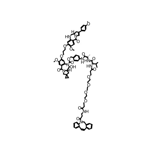 COc1ccc(C2=CN3C(=O)c4cc(OC)c(OCCCOc5cc6c(cc5OC)C(=O)N5CC7(CC7)C[C@H]5C(O)N6C(=O)OCc5ccc(NC(=O)[C@H](C)NC(=O)[C@@H](NC(=O)CCOCCOCCOCCOCCC(=O)NCCC(=O)N6Cc7ccccc7C#Cc7ccccc76)C(C)C)cc5)cc4NC[C@@H]3C2)cc1